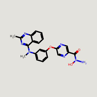 Cc1nc(N(C)c2cccc(Oc3cnc(C(=O)N(N)O)cn3)c2)c2ccccc2n1